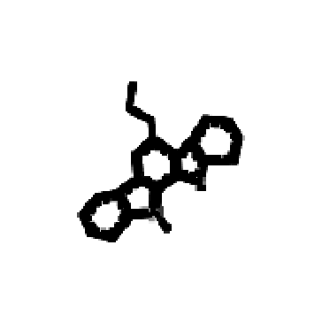 CCCc1cc2c3ccccc3n(C)c2c2sc3ccccc3c12